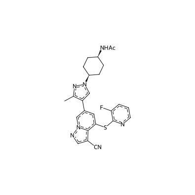 CC(=O)N[C@H]1CC[C@@H](n2cc(-c3cc(Sc4ncccc4F)c4c(C#N)cnn4c3)c(C)n2)CC1